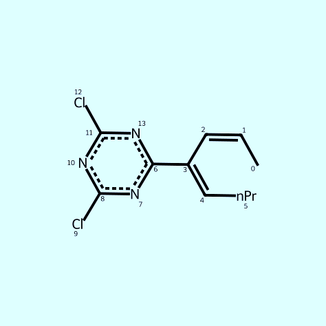 C/C=C\C(=C/CCC)c1nc(Cl)nc(Cl)n1